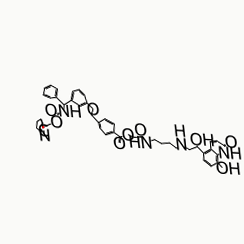 O=C(COC(=O)c1ccc(COc2cccc(C(NC(=O)OC3CN4CCC3CC4)c3ccccc3)c2)cc1)NCCCCNCC(O)c1ccc(O)c2[nH]c(=O)ccc12